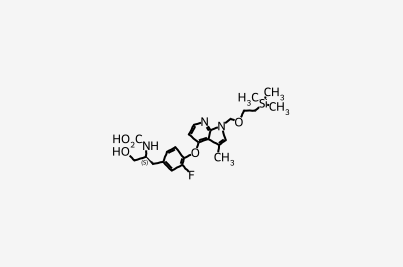 Cc1cn(COCC[Si](C)(C)C)c2nccc(Oc3ccc(C[C@@H](CO)NC(=O)O)cc3F)c12